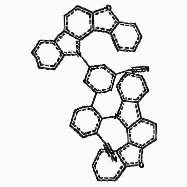 N#Cc1cc(-c2cccc(C#N)c2-n2c3ccccc3c3ccc4oc5ccccc5c4c32)cc(-n2c3ccccc3c3ccc4oc5ccccc5c4c32)c1